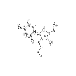 CCCSC1[C@@H](O)C(CO)O[C@H]1n1cc(C)c(=O)[nH]c1=O